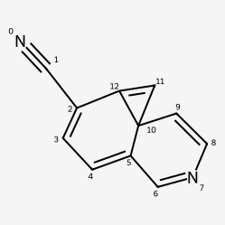 N#CC1=CC=C2C=NC=CC23C=C13